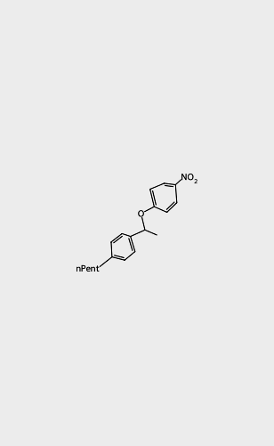 CCCCCc1ccc(C(C)Oc2ccc([N+](=O)[O-])cc2)cc1